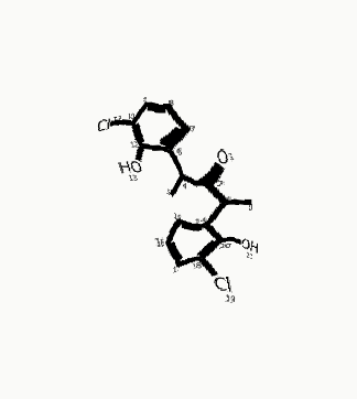 CC(C(=O)C(C)c1cccc(Cl)c1O)c1cccc(Cl)c1O